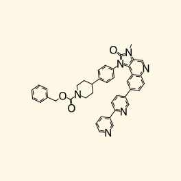 Cn1c(=O)n(-c2ccc(C3CCN(C(=O)OCc4ccccc4)CC3)cc2)c2c3cc(-c4ccc(-c5cccnc5)nc4)ccc3ncc21